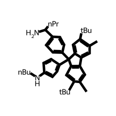 CCCCNc1ccc(C2(c3ccc(C(N)CCC)cc3)c3cc(C(C)(C)C)c(C)cc3-c3cc(C)c(C(C)(C)C)cc32)cc1